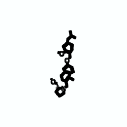 COC[C@H]1CCCN1CC1=C(C)c2ccc(OCc3ccc(CC(C)C)cc3OC)cc2CC1